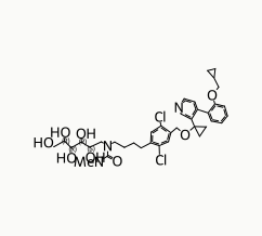 CNC(=O)N(CCCCc1cc(Cl)c(COC2(c3cnccc3-c3ccccc3OCC3CC3)CC2)cc1Cl)C[C@H](O)[C@@H](O)[C@H](O)[C@H](O)CO